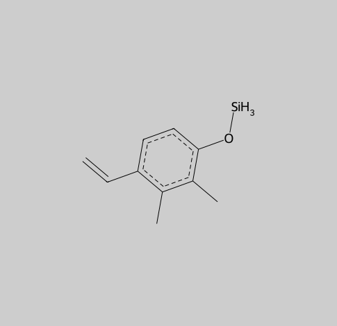 C=Cc1ccc(O[SiH3])c(C)c1C